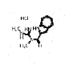 CNC(=N)N(C)C(=O)c1cc2ccccc2[nH]1.Cl